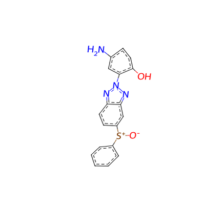 Nc1ccc(O)c(-n2nc3ccc([S+]([O-])c4ccccc4)cc3n2)c1